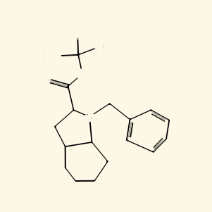 CC(C)(C)OC(=O)C1CC2CCCCC2N1Cc1ccccc1